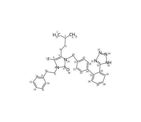 CC(C)CCc1c(F)n(CCc2ccccc2)c(=O)n1Cc1ccc(-c2ccccc2-c2nnn[nH]2)cc1